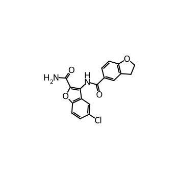 NC(=O)c1oc2ccc(Cl)cc2c1NC(=O)c1ccc2c(c1)CCO2